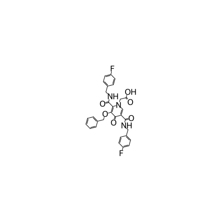 O=C(O)Cn1cc(C(=O)NCc2ccc(F)cc2)c(=O)c(OCc2ccccc2)c1C(=O)NCc1ccc(F)cc1